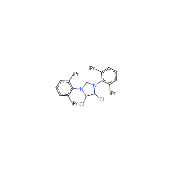 CC(C)c1cccc(C(C)C)c1N1CN(c2c(C(C)C)cccc2C(C)C)C(Cl)C1Cl